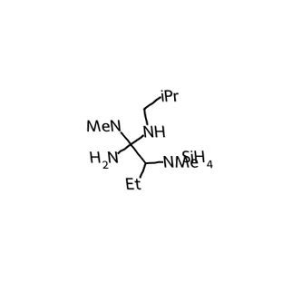 CCC(NC)C(N)(NC)NCC(C)C.[SiH4]